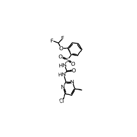 Cc1cc(Cl)nc(NC(=O)NS(=O)(=O)c2ccccc2OC(F)F)n1